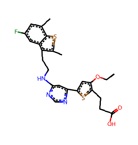 CCOc1cc(-c2cc(NCCc3c(C)sc4c(C)cc(F)cc34)ncn2)sc1CCC(=O)O